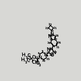 CC(C)(C)OC(=O)N1CCN(c2nc(-c3ccc4cn(C5CCC5)nc4c3)no2)CC1